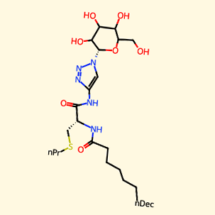 [CH2][CH]CSC[C@@H](NC(=O)CCCCCCCCCCCCCCC)C(=O)Nc1cn([C@H]2OC(CO)C(O)C(O)C2O)nn1